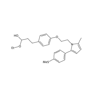 CCOC(O)CCc1ccc(OCCn2c(C)ccc2-c2ccc(SC)cc2)cc1